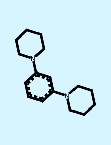 [c]1ccc(N2CCCCC2)cc1N1CCCCC1